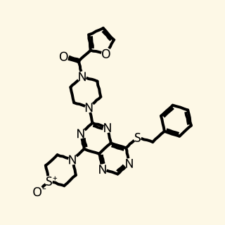 O=C(c1ccco1)N1CCN(c2nc(N3CC[S+]([O-])CC3)c3ncnc(SCc4ccccc4)c3n2)CC1